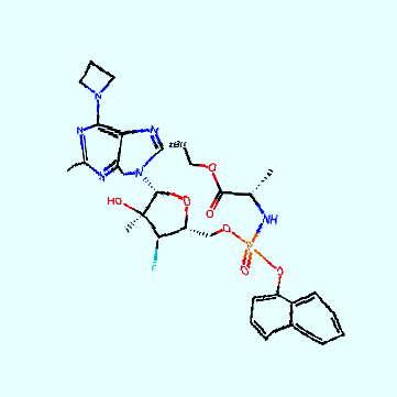 Cc1nc(N2CCC2)c2ncn([C@@H]3O[C@H](COP(=O)(N[C@@H](C)C(=O)OCC(C)(C)C)Oc4cccc5ccccc45)[C@@H](F)[C@@]3(C)O)c2n1